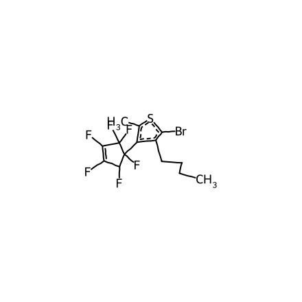 CCCCc1c(Br)sc(C)c1C1(F)C(F)C(F)=C(F)C1(F)F